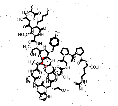 CSCC[C@H](NC(=O)[C@H](Cc1c[nH]cn1)NC(=O)[C@H](CC(C)C)NC(=O)[C@H](C)NC(=O)[C@H](CC(=O)O)NC(=O)[C@H](Cc1ccc(O)cc1)NC(=O)[C@@H](NC(=O)[C@H](CC(=O)O)NC(=O)[C@H](CCCCN)NC(=O)[C@@H](NC(=O)[C@H](C)N)[C@@H](C)O)[C@@H](C)O)C(=O)N[C@@H](CCC(N)=O)C(=O)N[C@@H](C)C(=O)N[C@@H](CC(C)C)C(=O)N1CCC[C@H]1C(=O)N1CCC[C@H]1C(=O)N[C@@H](CCCNC(=N)N)C(=O)O